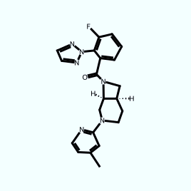 Cc1ccnc(N2CC[C@@H]3CN(C(=O)c4cccc(F)c4-n4nccn4)[C@@H]3C2)c1